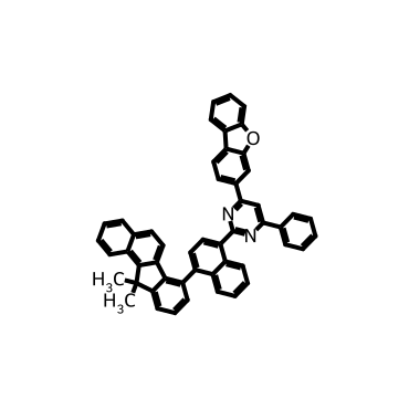 CC1(C)c2cccc(-c3ccc(-c4nc(-c5ccccc5)cc(-c5ccc6c(c5)oc5ccccc56)n4)c4ccccc34)c2-c2ccc3ccccc3c21